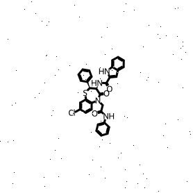 O=C(CN1C(=O)[C@@H](NC(=O)c2cc3ccccc3[nH]2)[C@H](c2ccccc2)Sc2cc(Cl)ccc21)Nc1ccccc1